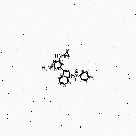 Cc1ccc(S(=O)(=O)n2cc(-c3cc(NC4CC4)nc(N)n3)c3ccccc32)cc1